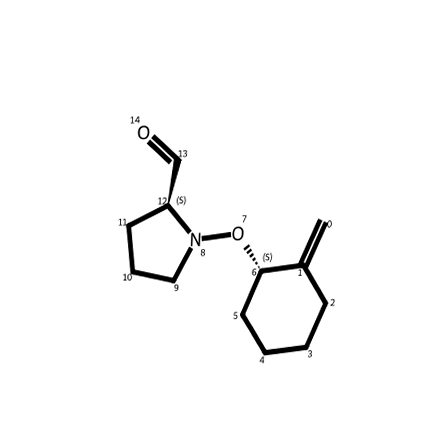 C=C1CCCC[C@@H]1ON1CCC[C@H]1C=O